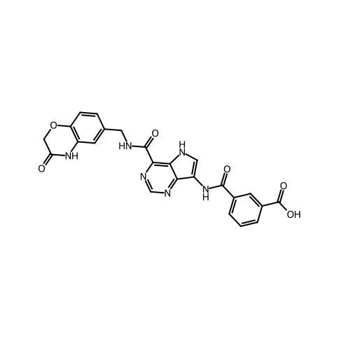 O=C1COc2ccc(CNC(=O)c3ncnc4c(NC(=O)c5cccc(C(=O)O)c5)c[nH]c34)cc2N1